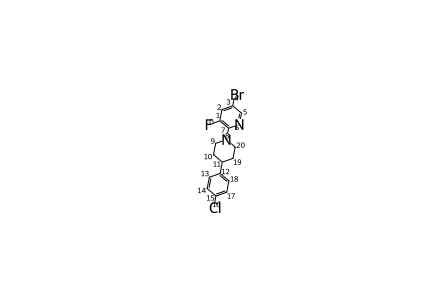 Fc1cc(Br)cnc1N1CCC(c2ccc(Cl)cc2)CC1